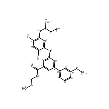 CC(C)CC(Oc1nc(Oc2cc(C(=O)NCCO)cc(-c3cccc(CN)c3)c2)c(F)cc1F)C(=O)O